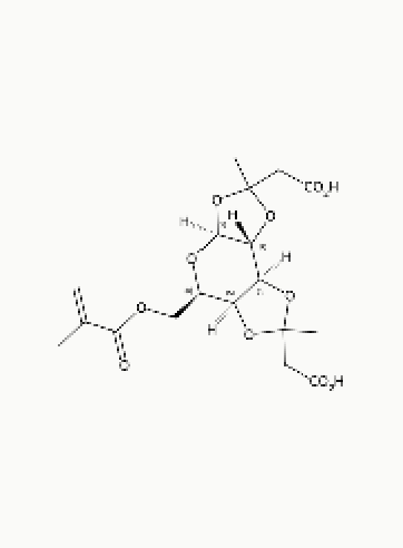 C=C(C)C(=O)OC[C@H]1O[C@H]2OC(C)(CC(=O)O)O[C@@H]2[C@H]2OC(C)(CC(=O)O)O[C@H]21